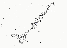 C=CC(=O)OCCOc1ccc(OC(=O)/C=C/c2ccc(OCCCCOC(=O)C(=C)CC(=O)OC3CCCCC3)cc2)cc1